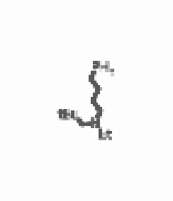 CCN(CCCCP)CC(C)(C)C